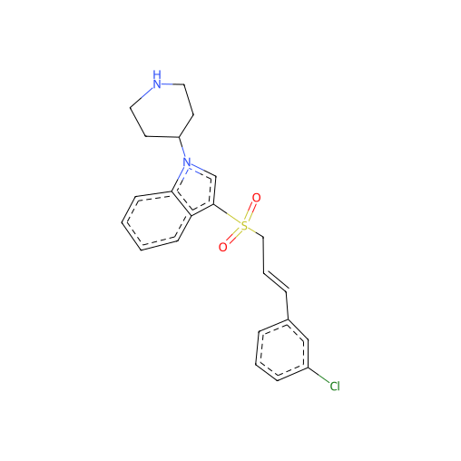 O=S(=O)(CC=Cc1cccc(Cl)c1)c1cn(C2CCNCC2)c2ccccc12